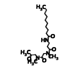 CCCCCCCCCC(=O)NCCC(=O)N(C)CC(=O)N(C)CC(C)=O